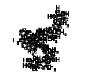 CCC1O[C@H](OC2C[C@@](O)(O[C@H]3OC(Cn4cc(C(NC(=O)C(Cc5cn(CC6OC(O[C@@H]7C(O)C(O[C@H]8OC(CC)[C@@H](O)C(O)C8O)[C@@H](C)C[C@H]7C)[C@@H](O)[C@@H](C)[C@@H]6O)nn5)NC(=O)C(C)Cc5cn(C)c6ccccc56)C(=O)NC(Cc5cn(C)c6ccccc56)C(C)=O)nn4)[C@@H](O)[C@H](C)C3O)[C@H](C)C[C@@H]2C)C(O)C(O)[C@@H]1O